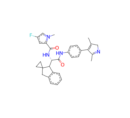 CC1=NCC(C)=C1c1ccc(NC(=O)[C@@H](NC(=O)c2cc(F)cn2C)C2c3ccccc3CC23CC3)cc1